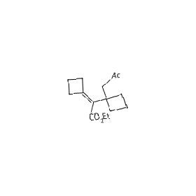 CCOC(=O)C(=C1CCC1)C1(CC(C)=O)CCC1